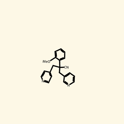 COc1ccccc1C(C#N)(Cc1ccncc1)Cc1cccnc1